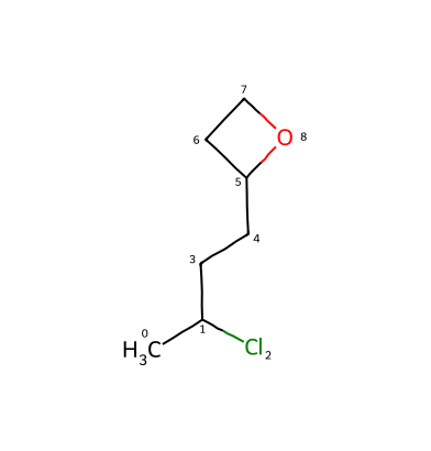 CC(Cl)CCC1CCO1